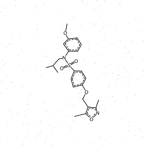 COc1cccc(N(CC(C)C)S(=O)(=O)c2ccc(OCc3c(C)noc3C)cc2)c1